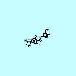 CC1(C)C2CC1C(=O)C(C(=O)Nc1ccc(F)c(C(F)(F)F)c1)C2=O